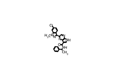 CC(NC(=O)c1c[nH]c2ncc(-c3nn(C)c4cc(Cl)ccc34)nc12)c1ccccc1